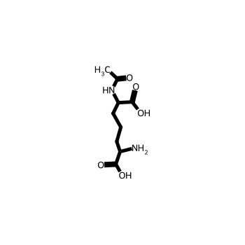 CC(=O)NC(CCCC(N)C(=O)O)C(=O)O